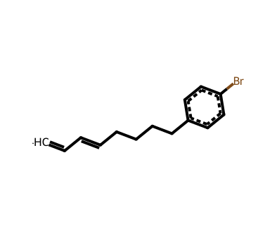 [CH]=C/C=C/CCCCc1ccc(Br)cc1